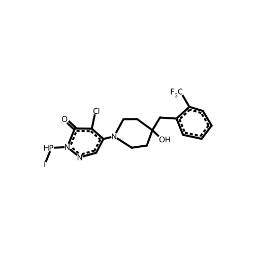 O=c1c(Cl)c(N2CCC(O)(Cc3ccccc3C(F)(F)F)CC2)cnn1PI